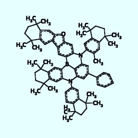 Cc1cc2c(cc1N1c3cc4oc5cc6c(cc5c4cc3B3c4cc5c(cc4N(c4ccc7c(c4)C(C)(C)CCC7(C)C)c4cc(-c7ccccc7)cc1c43)C(C)(C)CCC5(C)C)C(C)(C)CCC6(C)C)C(C)(C)CCC2(C)C